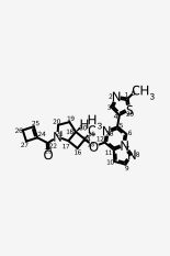 Cc1ncc(-c2cn3nccc3c(O[C@]3(C)CC4[C@@H]3CCN4C(=O)C3=CCC3)n2)s1